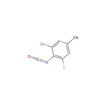 N#Cc1cc(F)c(N=C=O)c(Cl)c1